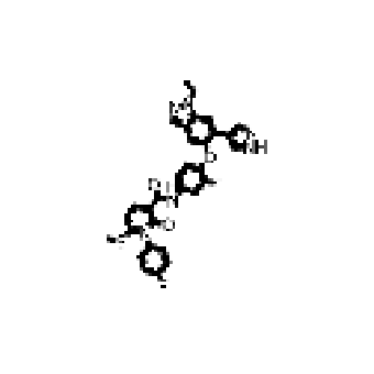 CCn1ncc2cc(Oc3ccc(NC(=O)c4ccc(SC)n(-c5ccc(F)cc5)c4=O)cc3F)c(-c3cn[nH]c3)cc21